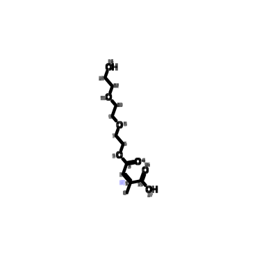 C/C(=C/C(=O)OCCOCCOCCO)C(=O)O